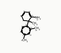 Cc1ccc(C2(C)CC=CC=C2N)c(C)c1